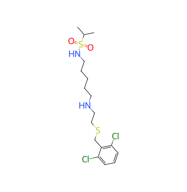 CC(C)S(=O)(=O)NCCCCCNCCSCc1c(Cl)cccc1Cl